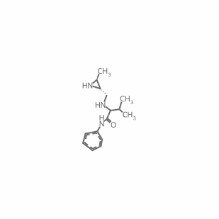 CC(C)C(NC[C@@H]1N[C@H]1C)C(=O)Nc1ccccc1